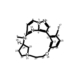 CN1c2ccn3ncc(c3n2)-c2cc(ccc2F)OCCN2CC[C@@H]1C2